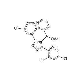 CC(=O)OC(c1cccnc1)c1c(-c2ccc(Cl)cc2Cl)noc1-c1cccc(Cl)c1